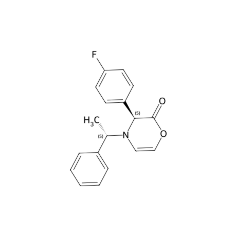 C[C@@H](c1ccccc1)N1C=COC(=O)[C@@H]1c1ccc(F)cc1